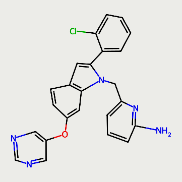 Nc1cccc(Cn2c(-c3ccccc3Cl)cc3ccc(Oc4cncnc4)cc32)n1